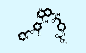 O=C(C=C1CCN(OC(=O)C(F)(F)F)CC1)Nc1ccc2ncnc(Nc3ccc(OCc4ccccn4)c(Cl)c3)c2c1